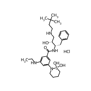 CCNc1cc(C(=O)N[C@@H](Cc2ccccc2)[C@H](O)CNCCC(C)(C)C)cc(N2CCCCS2(O)O)c1.Cl